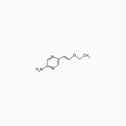 CCOC=Cc1cnc(N)cn1